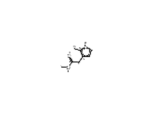 COC(=O)Cc1ccsc1C